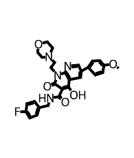 COc1ccc(-c2cnc3c(c2)c(O)c(C(=O)NCc2ccc(F)cc2)c(=O)n3CCN2CCOCC2)cc1